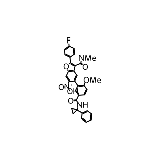 CNC(=O)c1c(-c2ccc(F)cc2)oc2cc([N+](=O)O)c(-c3cc(C(=O)NC4(c5ccccc5)CC4)ccc3OC)cc12